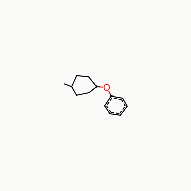 CC1CCC(Oc2ccccc2)CC1